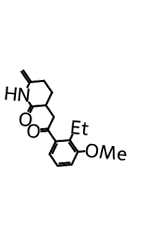 C=C1CCC(CC(=O)c2cccc(OC)c2CC)C(=O)N1